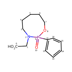 O=C(O)CN1CCCCCOP1(=O)c1ccccc1